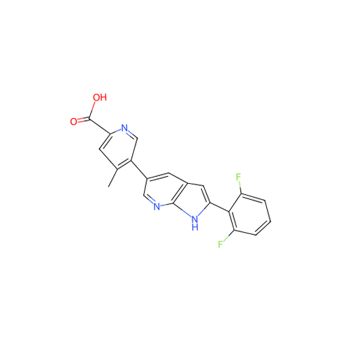 Cc1cc(C(=O)O)ncc1-c1cnc2[nH]c(-c3c(F)cccc3F)cc2c1